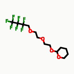 FC(F)(F)C(F)(F)C(F)(F)COCCOCCOC1CCCCO1